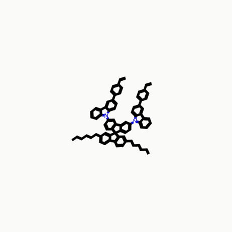 C=Cc1ccc(-c2ccc3c(c2)c2ccccc2n3-c2ccc3c(c2)-c2cc(-n4c5ccccc5c5cc(-c6ccc(C=C)cc6)ccc54)ccc2C32c3cc(CCCCCC)ccc3-c3ccc(CCCCCC)cc32)cc1